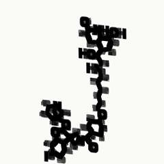 O=C(c1ccc(OCCCCCCNCC(O)c2ccc(O)c3[nH]c(=O)ccc23)cc1)N1CC(C(=O)OC2CN3CCC2CC3)(c2ccc(F)cc2)C1